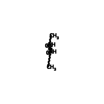 CCCCCCCCCC(=O)NC1CC(C(=O)NCCCCCC)S1